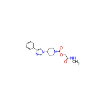 CNC(=O)COC(=O)N1CCC(n2cnc(-c3ccccc3)c2)CC1